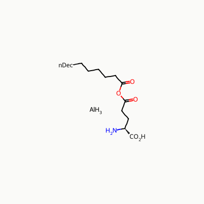 CCCCCCCCCCCCCCCC(=O)OC(=O)CC[C@H](N)C(=O)O.[AlH3]